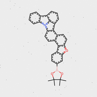 CC1(C)OB(c2ccc3c(c2)oc2ccc4c(ccc5c4c4cccc6c7ccccc7n5c64)c23)OC1(C)C